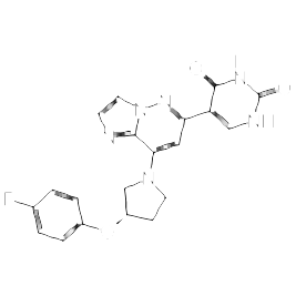 O=c1[nH]cc(-c2cc(N3CC[C@@H](Oc4ccc(F)cc4)C3)c3nccn3n2)c(=O)[nH]1